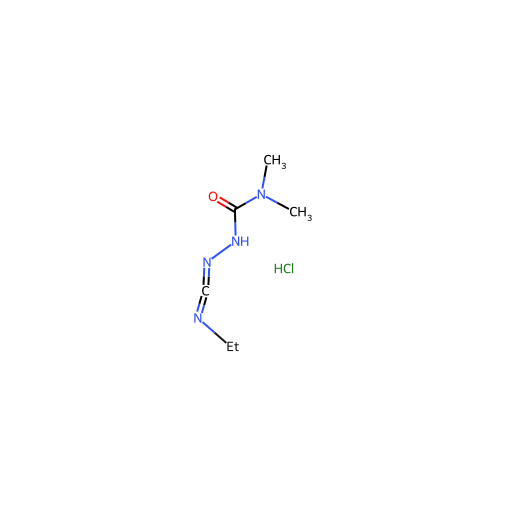 CCN=C=NNC(=O)N(C)C.Cl